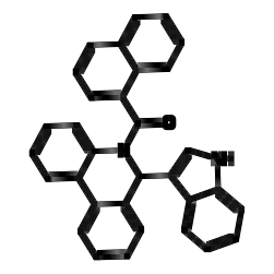 O=C(c1cccc2ccccc12)N1c2ccccc2-c2ccccc2C1c1c[nH]c2ccccc12